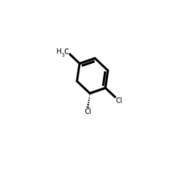 CC1=CC=C(Cl)[C@H](Cl)C1